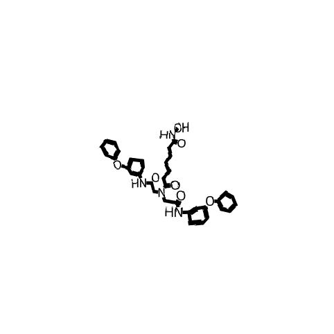 O=C(CCCCCC(=O)N(CC(=O)Nc1cccc(Oc2ccccc2)c1)CC(=O)Nc1cccc(Oc2ccccc2)c1)NO